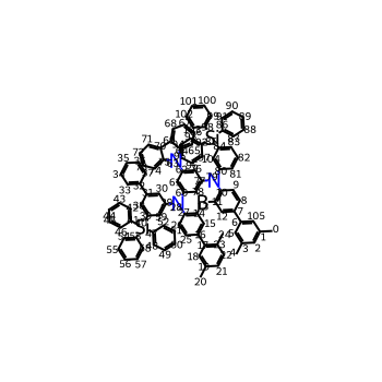 Cc1cc(C)cc(-c2ccc3c(c2)B2c4cc(-c5cc(C)ccc5C)ccc4N(c4cc(-c5ccccc5)cc([Si](c5ccccc5)(c5ccccc5)c5ccccc5)c4)c4cc(-n5c6ccccc6c6ccccc65)cc(c42)N3c2cccc([Si](c3ccccc3)(c3ccccc3)c3ccccc3)c2)c1